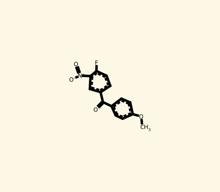 COc1ccc(C(=O)c2ccc(F)c([N+](=O)[O-])c2)cc1